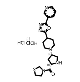 Cl.Cl.Cl.O=C([C@@H]1C[C@H](N2CCC(c3nnc(-c4cccnc4)o3)CC2)CN1)N1CCSC1